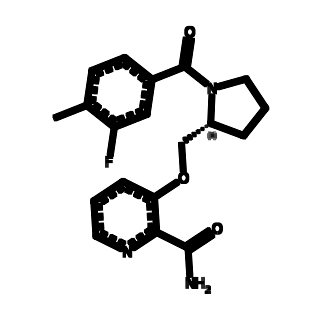 Cc1ccc(C(=O)N2CCC[C@@H]2COc2cccnc2C(N)=O)cc1F